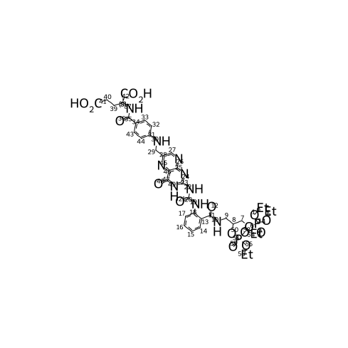 CCOP(=O)(OCC)OCC(CNC(=O)c1ccccc1NC(=O)Nc1nc2ncc(CNc3ccc(C(=O)N[C@@H](CCC(=O)O)C(=O)O)cc3)nc2c(=O)[nH]1)OP(=O)(OCC)OCC